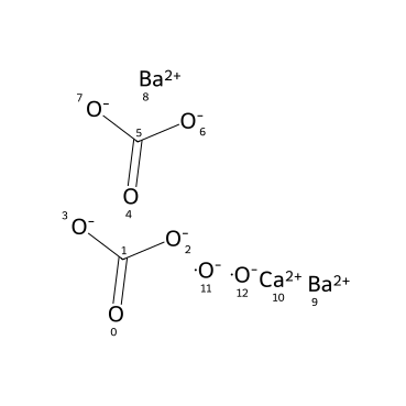 O=C([O-])[O-].O=C([O-])[O-].[Ba+2].[Ba+2].[Ca+2].[O-].[O-]